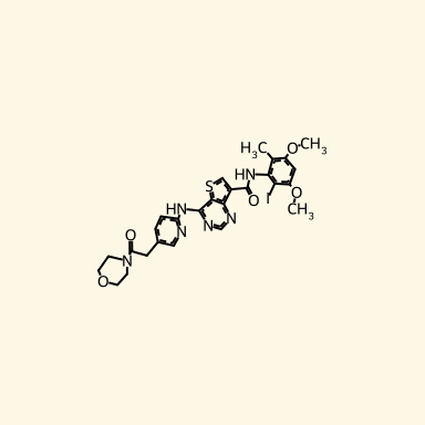 COc1cc(OC)c(I)c(NC(=O)c2csc3c(Nc4ccc(CC(=O)N5CCOCC5)cn4)ncnc23)c1C